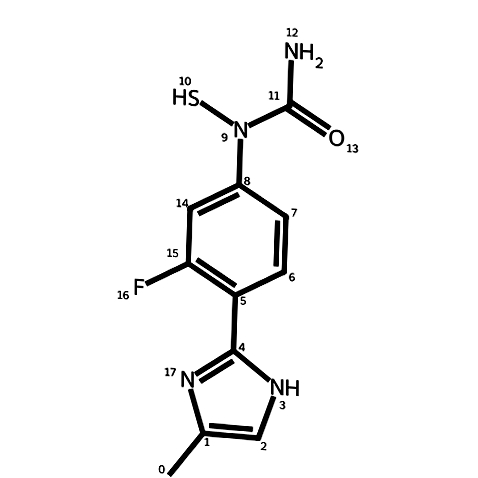 Cc1c[nH]c(-c2ccc(N(S)C(N)=O)cc2F)n1